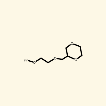 CC(C)OCCOCC1COCCO1